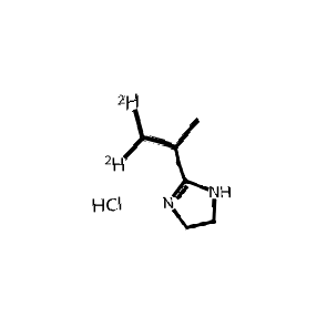 Cl.[2H]C([2H])C(C)C1=NCCN1